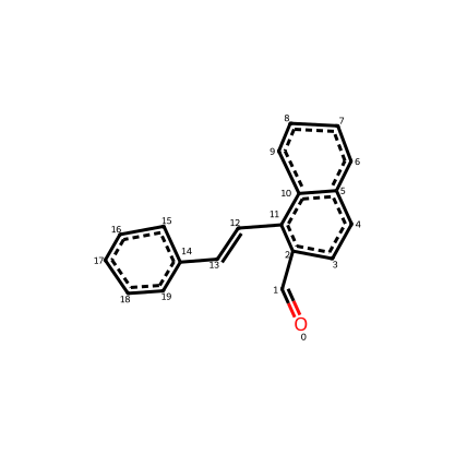 O=Cc1ccc2ccccc2c1C=Cc1ccccc1